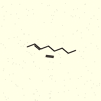 C=C.CC=CCCCCC